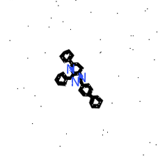 c1ccc(C2=Nc3c(nc(-c4ccc(-c5ccccc5)cc4)nc3-c3ccccc3)CC2)cc1